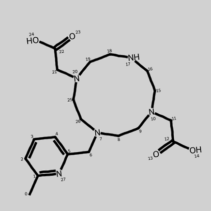 Cc1cccc(CN2CCN(CC(=O)O)CCNCCN(CC(=O)O)CC2)n1